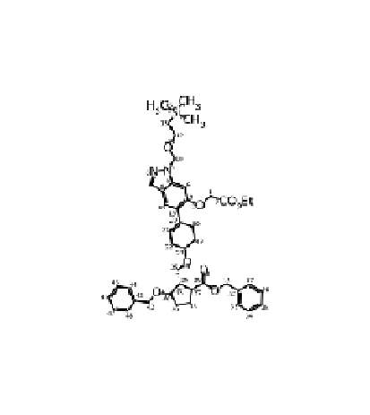 CCOC(=O)COc1cc2c(cnn2COCC[Si](C)(C)C)cc1C1=CCC(OC[C@@H]2C(C(=O)OCc3ccccc3)CC[C@H]2OCc2ccccc2)CC1